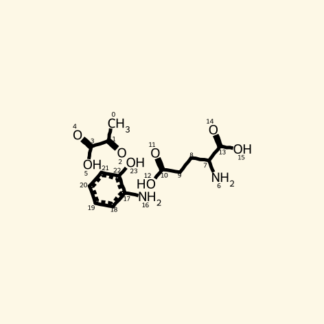 CC(=O)C(=O)O.NC(CCC(=O)O)C(=O)O.Nc1ccccc1O